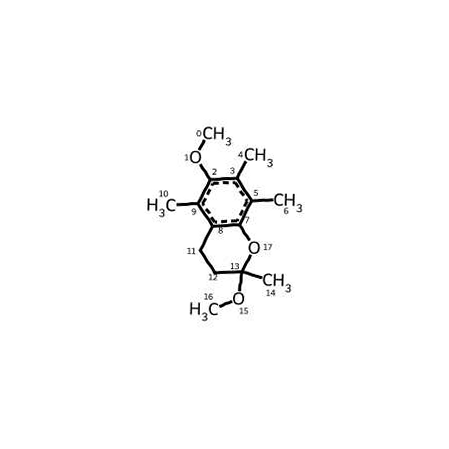 COc1c(C)c(C)c2c(c1C)CCC(C)(OC)O2